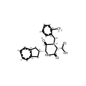 CCC(CC)[C@@H]1C(=O)N[C@H](C2Cc3ccccc3C2)C(=O)N1Cc1ccccc1C(F)(F)F